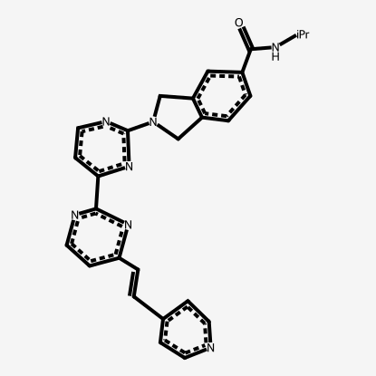 CC(C)NC(=O)c1ccc2c(c1)CN(c1nccc(-c3nccc(/C=C/c4ccncc4)n3)n1)C2